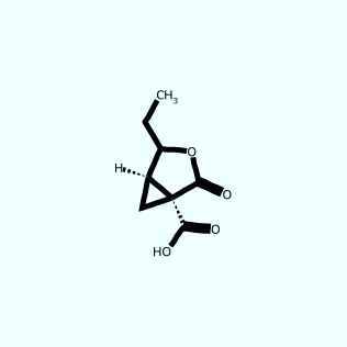 CCC1OC(=O)[C@@]2(C(=O)O)C[C@@H]12